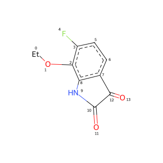 CCOc1c(F)ccc2c1NC(=O)C2=O